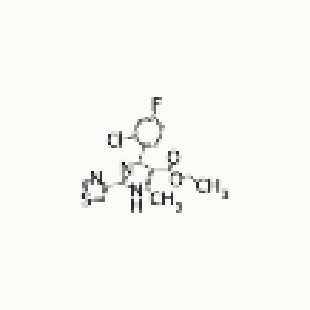 CCOC(=O)C1=C(C)NC(c2cscn2)=NC1c1ccc(F)cc1Cl